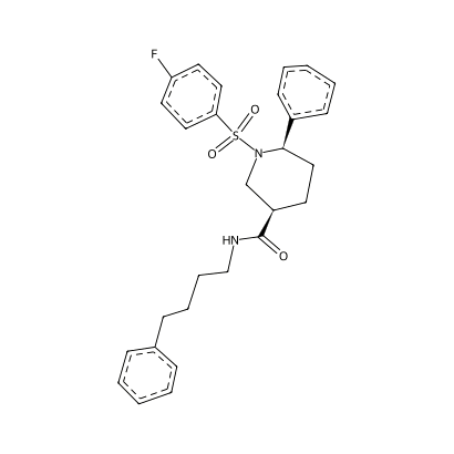 O=C(NCCCCc1ccccc1)[C@@H]1CC[C@H](c2ccccc2)N(S(=O)(=O)c2ccc(F)cc2)C1